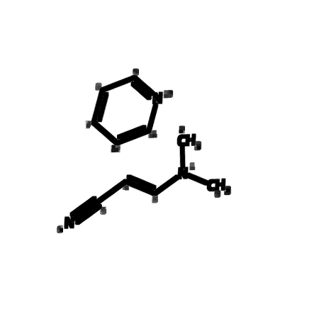 CN(C)C=CC#N.c1ccncc1